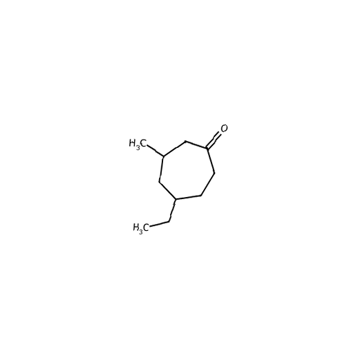 CCC1CCC(=O)CC(C)C1